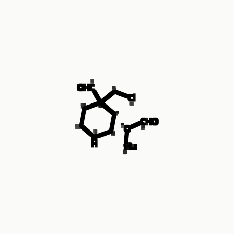 CC(C)(C)OC=O.O=CC1(CCl)CCNCC1